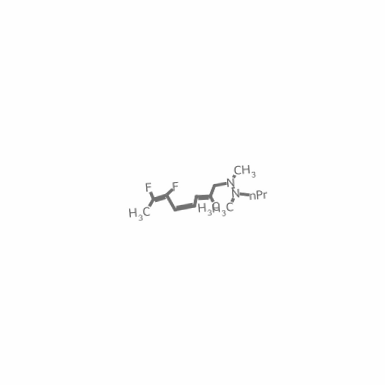 CCCN(C)N(C)C/C(C)=C/C=C\C(F)=C(/C)F